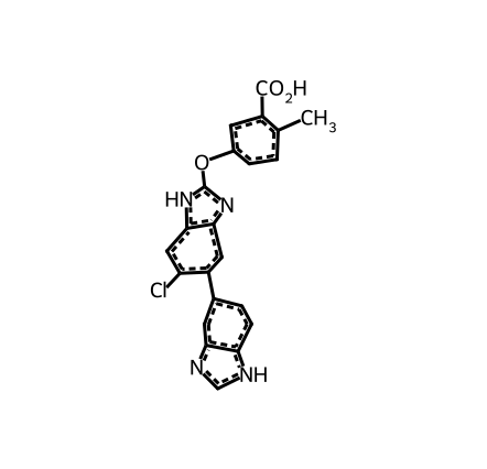 Cc1ccc(Oc2nc3cc(-c4ccc5[nH]cnc5c4)c(Cl)cc3[nH]2)cc1C(=O)O